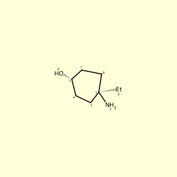 CC[C@]1(N)CC[C@H](O)CC1